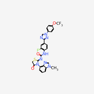 Cn1cnc2c(N3C(=O)CSC3=NC(=O)Nc3ccc(-c4ncn(-c5ccc(OC(F)(F)F)cc5)n4)cc3F)cccc21